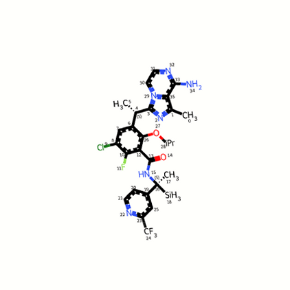 Cc1nc([C@@H](C)c2cc(Cl)c(F)c(C(=O)N[C@@](C)([SiH3])c3ccnc(C(F)(F)F)c3)c2OC(C)C)n2ccnc(N)c12